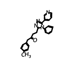 Cc1ccc(CC(=O)CCc2nnc(-c3cccnc3)n2-c2ccccc2)cc1